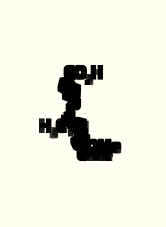 COc1ccc(-c2nccc(N(C)CCCOc3ccc4c(c3)CC[C@H]4CC(=O)O)n2)cc1OC